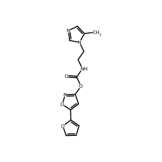 Cc1cncn1CCNC(=O)Oc1cc(-c2ccco2)on1